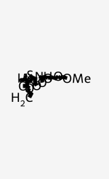 C=CCOC(=O)C1=C(CI)CSC2[C@H](NC(=O)COCCOCCOC)C(=O)N12